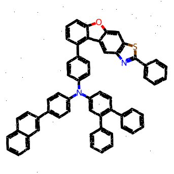 c1ccc(-c2nc3cc4c(cc3s2)oc2cccc(-c3ccc(N(c5ccc(-c6ccc7ccccc7c6)cc5)c5ccc(-c6ccccc6)c(-c6ccccc6)c5)cc3)c24)cc1